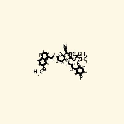 COc1ccc2nccc(CC[C@H]3CC[C@@H](N(C/C=C/c4cc(F)ccc4F)C(=O)OC(C)(C)C)[C@H](CC#N)O3)c2c1